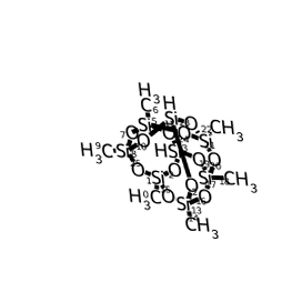 C[Si]12O[SiH]3O[Si]4(C)O[Si](C)(O[SiH]5O[Si](C)(O1)O[Si](C)(O3)O[Si](C)(O5)O4)O2